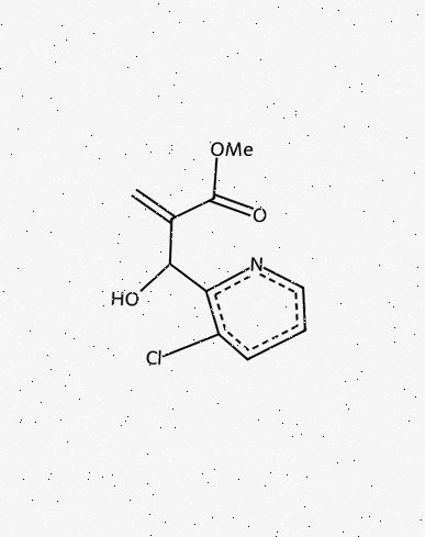 C=C(C(=O)OC)C(O)c1ncccc1Cl